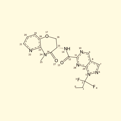 CCC(F)(F)n1ncc2cnc(C(=O)N[C@H]3COc4cccnc4N(C)C3=O)nc21